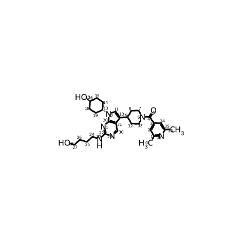 Cc1cc(C(=O)N2CCC(c3cn([C@H]4CC[C@H](O)CC4)c4nc(NCCCCO)ncc34)CC2)cc(C)n1